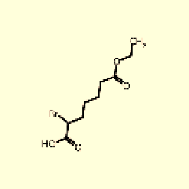 CCOC(=O)CCCCC(Br)C(=O)O